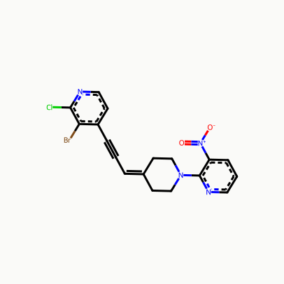 O=[N+]([O-])c1cccnc1N1CCC(=CC#Cc2ccnc(Cl)c2Br)CC1